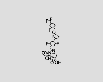 CC1(C)COC[C@H]1n1c(Cc2cc(F)c(-c3cccc(OCc4ccc(C(F)F)cc4F)n3)cc2F)nc2ccc(C(=O)O)cc21